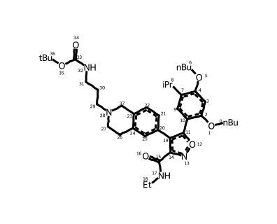 CCCCOc1cc(OCCCC)c(C(C)C)cc1-c1onc(C(=O)NCC)c1-c1ccc2c(c1)CCN(CCCNC(=O)OC(C)(C)C)C2